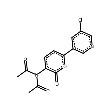 CC(=O)N(C(C)=O)c1ccc(-c2cncc(Cl)c2)oc1=O